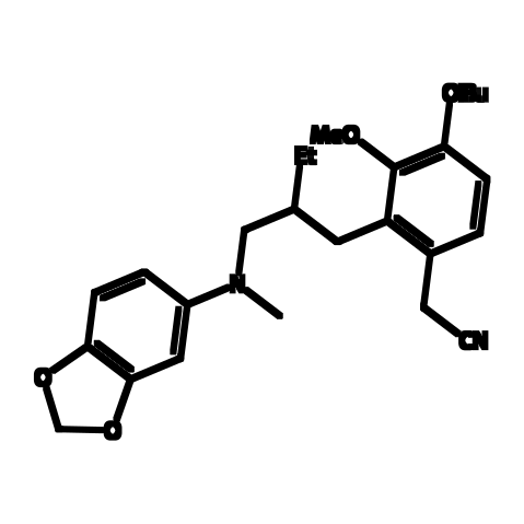 CCC(Cc1c(CC#N)ccc(OCC(C)C)c1OC)CN(C)c1ccc2c(c1)OCO2